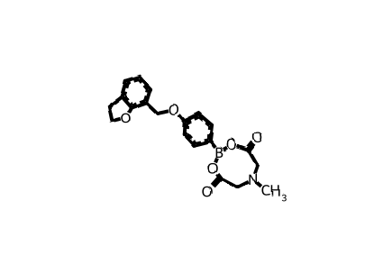 CN1CC(=O)OB(c2ccc(OCc3cccc4c3OCC4)cc2)OC(=O)C1